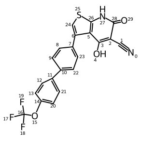 N#Cc1c(O)c2c(-c3ccc(-c4ccc(OC(F)(F)F)cc4)cc3)csc2[nH]c1=O